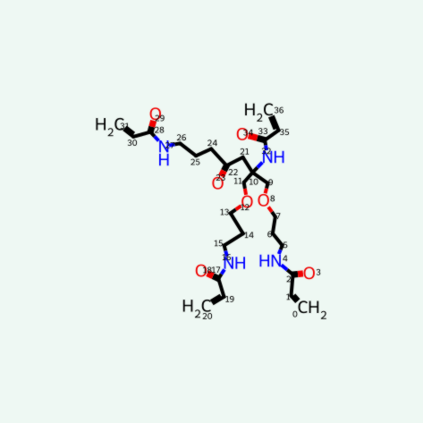 C=CC(=O)NCCCOCC(COCCCNC(=O)C=C)(CC(=O)CCCNC(=O)C=C)NC(=O)C=C